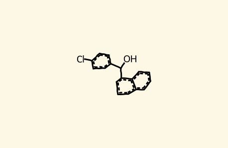 OC(c1ccc(Cl)cc1)c1cccc2ccccc12